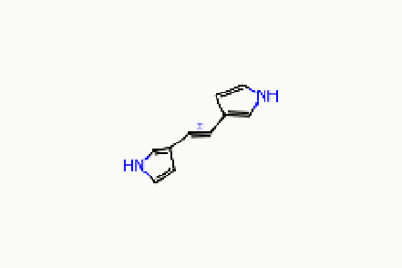 C(=C\c1cc[nH]c1)/c1cc[nH]c1